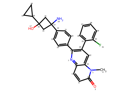 Cn1c(=O)ccc2nc(-c3ccc(C4(N)CC(O)(C5CC5)C4)cc3)c(-c3ccccc3F)cc21